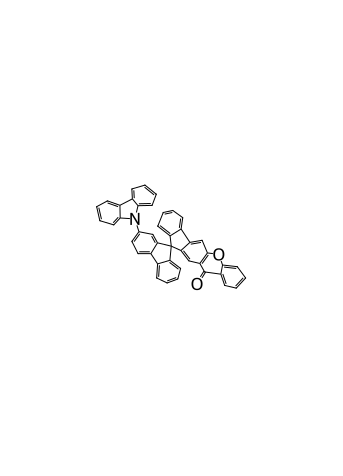 O=c1c2ccccc2oc2cc3c(cc12)C1(c2ccccc2-c2ccc(-n4c5ccccc5c5ccccc54)cc21)c1ccccc1-3